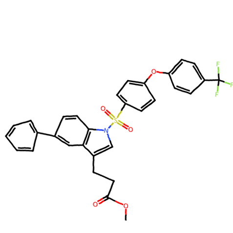 COC(=O)CCc1cn(S(=O)(=O)c2ccc(Oc3ccc(C(F)(F)F)cc3)cc2)c2ccc(-c3ccccc3)cc12